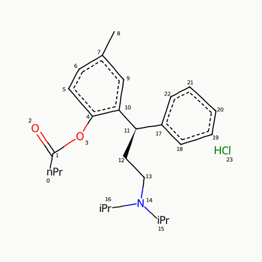 CCCC(=O)Oc1ccc(C)cc1[C@H](CCN(C(C)C)C(C)C)c1ccccc1.Cl